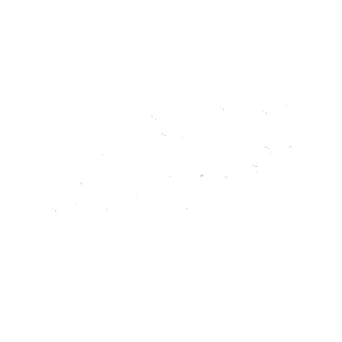 Cc1nn(-c2cc(S(=O)(=O)CC(N)=O)ccc2OC(F)F)c2cc(-c3cnn4cccnc34)ncc12